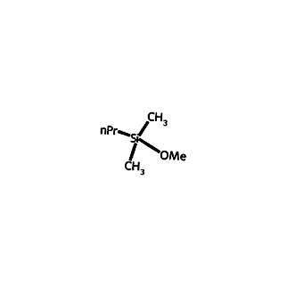 CCC[Si](C)(C)OC